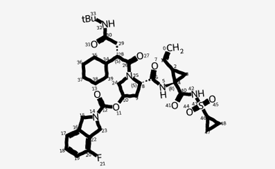 C=CC1C[C@]1(NC(=O)[C@@H]1CC(OC(=O)N2Cc3cccc(F)c3C2)CN1C(=O)[C@@H](CC(=O)NC(C)(C)C)C1CCCCC1)C(=O)NS(=O)(=O)C1CC1